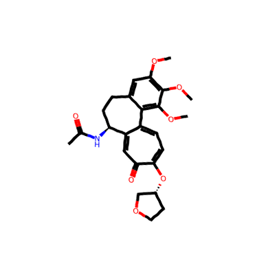 COc1cc2c(c(OC)c1OC)-c1ccc(O[C@@H]3CCOC3)c(=O)cc1[C@@H](NC(C)=O)CC2